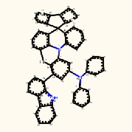 B1c2cccc3c2N(c2ccccc2C32c3ccccc3-c3ccccc32)c2cc(N(c3ccccc3)c3ccccc3)cc(-c3cccc4c3[nH]c3ccccc34)c21